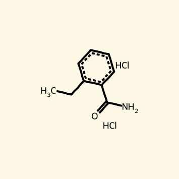 CCc1ccccc1C(N)=O.Cl.Cl